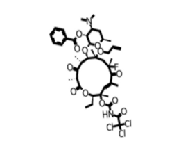 C=CCO[C@]1(C)C[C@](C)(F)C(=O)/C(C)=C/[C@](C)(OC(=O)NC(=O)C(Cl)(Cl)Cl)[C@@H](CC)OC(=O)[C@H](C)C(=O)[C@H](C)[C@H]1O[C@@H]1O[C@H](C)C[C@H](N(C)C)[C@H]1OC(=O)c1ccccc1